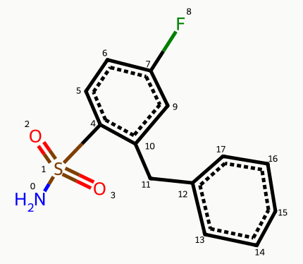 NS(=O)(=O)c1ccc(F)cc1Cc1ccccc1